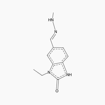 CCn1c(=O)[nH]c2ccc(/C=N/NC)cc21